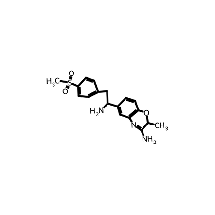 CC1Oc2ccc(C(N)Cc3ccc(S(C)(=O)=O)cc3)cc2N=C1N